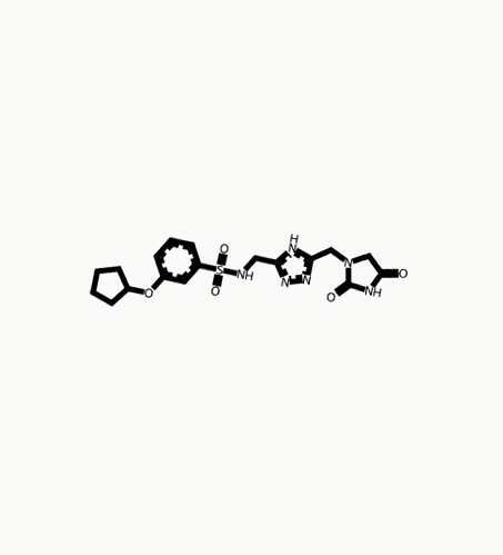 O=C1CN(Cc2nnc(CNS(=O)(=O)c3cccc(OC4CCCC4)c3)[nH]2)C(=O)N1